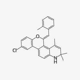 CC1=CC(C)(C)Nc2ccc3c(c21)C(=Cc1ccccc1C)Oc1ccc(Cl)cc1-3